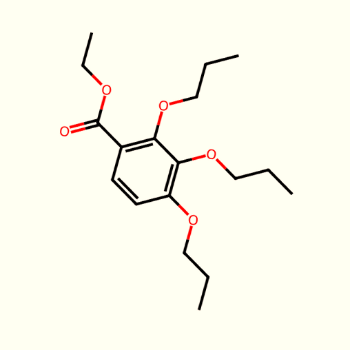 CCCOc1ccc(C(=O)OCC)c(OCCC)c1OCCC